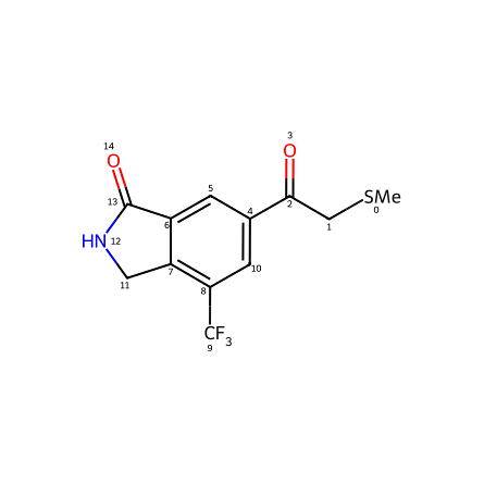 CSCC(=O)c1cc2c(c(C(F)(F)F)c1)CNC2=O